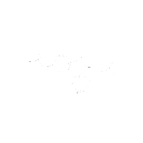 CC(=O)Nc1ccc(OC(CCN(C)C)c2ccccc2)nn1